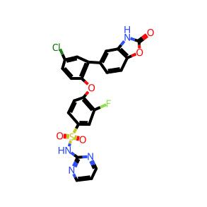 O=c1[nH]c2cc(-c3cc(Cl)ccc3Oc3ccc(S(=O)(=O)Nc4ncccn4)cc3F)ccc2o1